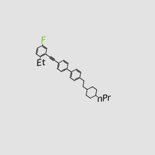 CCCC1CCC(CCc2ccc(-c3ccc(C#Cc4cc(F)ccc4CC)cc3)cc2)CC1